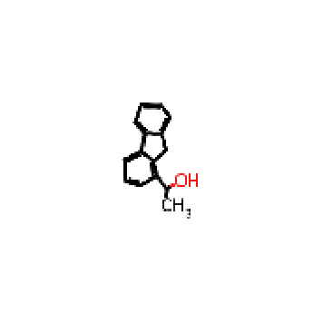 CC(O)c1cccc2c1Cc1ccccc1-2